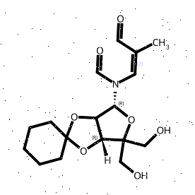 C/C(C=O)=C/N(C=O)[C@@H]1OC(CO)(CO)[C@@H]2OC3(CCCCC3)OC12